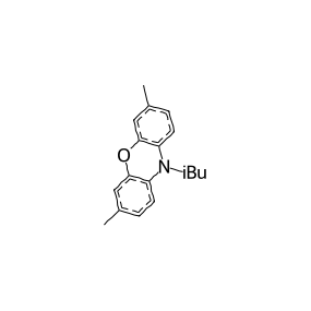 CCC(C)N1c2ccc(C)cc2Oc2cc(C)ccc21